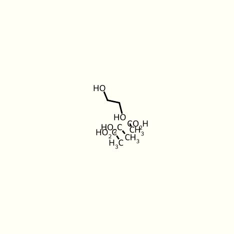 CC(=O)O.CC(=O)O.CC(=O)O.OCCO